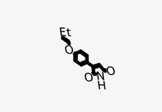 CCC=COc1ccc(C2=CC(=O)NC2=O)cc1